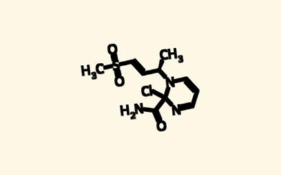 C[C@H](/C=C/S(C)(=O)=O)N1C=CC=NC1(Cl)C(N)=O